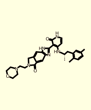 Cc1ccc(C)c(C[C@H](C)Nc2cc[nH]c(=O)c2-c2nc3cc4c(cc3[nH]2)CN(CCN2CCOCC2)C4=O)c1